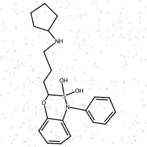 OS1(O)C(CCCNC2CCCC2)Oc2ccccc2N1c1ccccc1